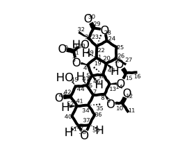 CC(=O)O[C@@H]1[C@H]2[C@H]3C([C@H](OC(C)=O)[C@H](OC(C)=O)[C@]2(C)[C@@H]2[C@@H]1[C@]1(C)C(C[C@H]2C)OC(=O)[C@@]1(C)O)[C@@]1(C)C[C@H]2O[C@H]2C[C@@H]1C(=O)[C@@H]3O